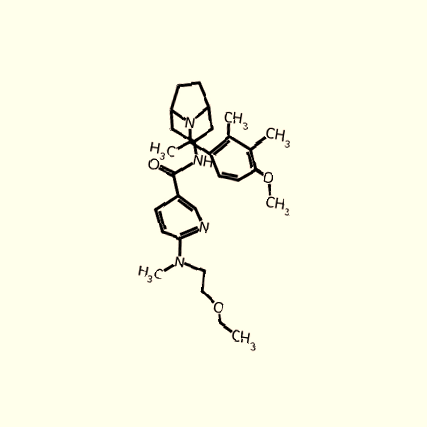 CCOCCN(C)c1ccc(C(=O)NC2CC3CCC(C2)N3C(C)c2ccc(OC)c(C)c2C)cn1